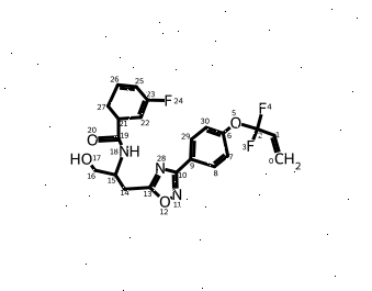 C=CC(F)(F)Oc1ccc(-c2noc(CC(CO)NC(=O)C3C=C(F)C=CC3)n2)cc1